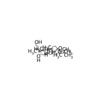 C[C@H](CCO)[C@H]1C(O)C[C@H]2[C@@H]3CC=C4C[C@@H](O[Si](C)(C)C(C)(C)C)CC[C@]4(C)[C@H]3CC[C@]12C